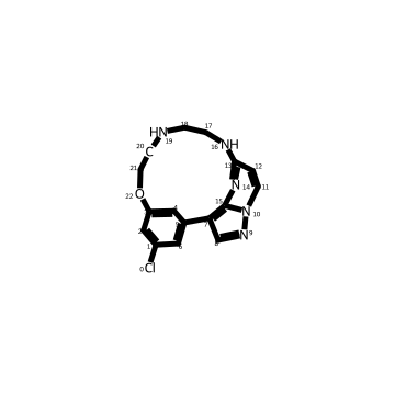 Clc1cc2cc(c1)-c1cnn3ccc(nc13)NCCNCCO2